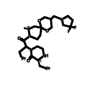 CC(C)CC(C(=O)N1CCC2(C[C@@H]1C)OCC(CN1CCC(F)(F)C1)CO2)N1CCN[C@@H](CC(C)C)C1=O